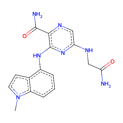 Cn1ccc2c(Nc3nc(NCC(N)=O)cnc3C(N)=O)cccc21